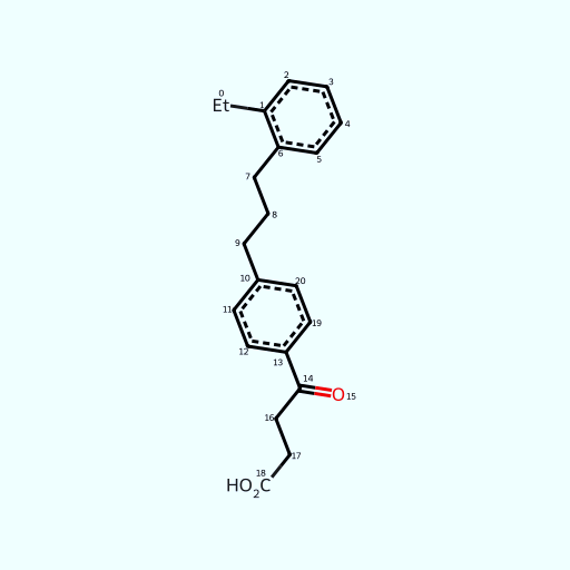 CCc1ccccc1CCCc1ccc(C(=O)CCC(=O)O)cc1